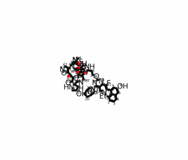 CCc1cccc2cc(O)cc(-c3ncc4c(N5CC6CCC(C5)N6)nc(OCCC5CC(F)(C[C@]6(C)CNCCN6c6cnoc6C(C)(C)CC(=O)[C@@]6(C(=O)N[C@@H](C)c7ccc(-c8scnc8C)cc7)CC(O)CN6)CCN5)nc4c3F)c12